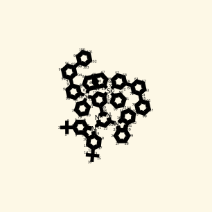 CC(C)(C)c1ccc2c(c1)c1cc(C(C)(C)C)ccc1n2-c1cc(-n2c3ccccc3c3ccccc32)nc(-c2cc([Si](c3ccccc3)(c3ccccc3)c3cccc(-c4cccc(-c5ccccc5)c4)c3)cc([Si](c3ccccc3)(c3ccccc3)c3cccc(-c4cccc(-c5ccccc5)c4)c3)c2)n1